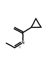 C=C(/N=C\C)C1CC1